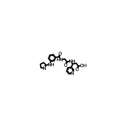 O=C(O)CC(NC(=O)CNC(=O)c1cccc(NC2=NCCC2)c1)c1cccnc1